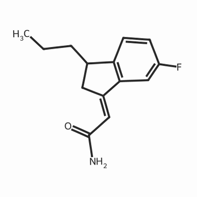 CCCC1CC(=CC(N)=O)c2cc(F)ccc21